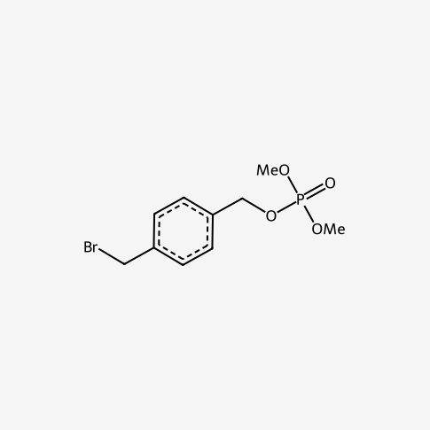 COP(=O)(OC)OCc1ccc(CBr)cc1